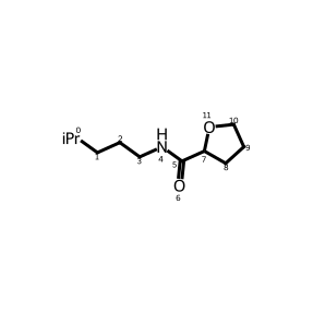 CC(C)CCCNC(=O)C1CCCO1